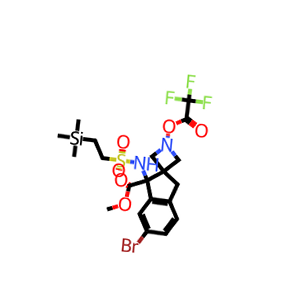 COC(=O)C1(NS(=O)(=O)CC[Si](C)(C)C)c2cc(Br)ccc2CC12CN(OC(=O)C(F)(F)F)C2